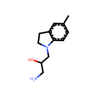 Cc1ccc2c(c1)CCN2CC(O)CN